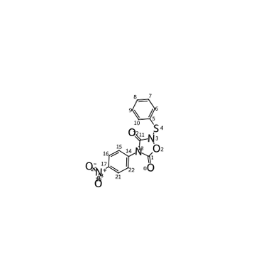 O=c1on(Sc2ccccc2)c(=O)n1-c1ccc([N+](=O)[O-])cc1